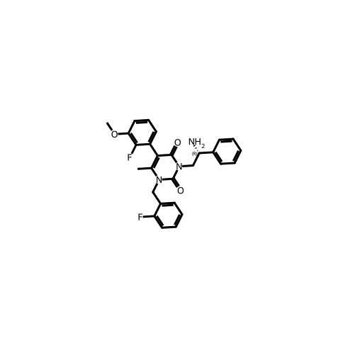 COc1cccc(-c2c(C)n(Cc3ccccc3F)c(=O)n(C[C@H](N)c3ccccc3)c2=O)c1F